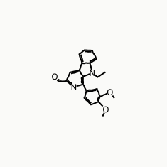 CCn1c2ccccc2c2cc(C=O)nc(-c3ccc(OC)c(OC)c3)c21